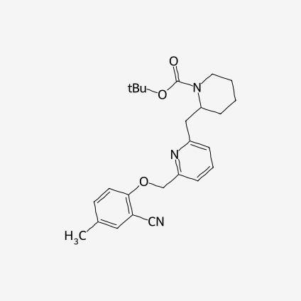 Cc1ccc(OCc2cccc(CC3CCCCN3C(=O)OC(C)(C)C)n2)c(C#N)c1